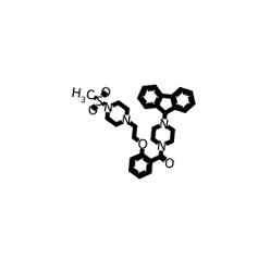 CS(=O)(=O)N1CCN(CCOc2ccccc2C(=O)N2CCN(C3c4ccccc4-c4ccccc43)CC2)CC1